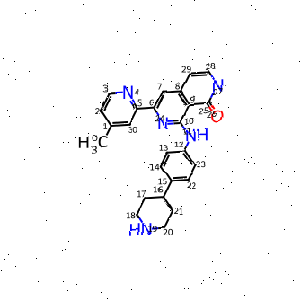 Cc1ccnc(-c2cc3c(c(Nc4ccc(C5CCNCC5)cc4)n2)C(=O)[N]C=C3)c1